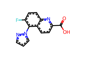 O=C(O)c1ccc2c(-n3cccn3)c(F)ccc2n1